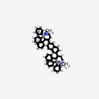 C[N+]1(C)CCC(c2ccc3cc(C4=C(c5ccccc5)[B-](c5ccccc5)(c5ccccc5)[N+](C)(C)CC4)ccc3c2)=C(c2ccccc2)[B-]1(c1ccccc1)c1ccccc1